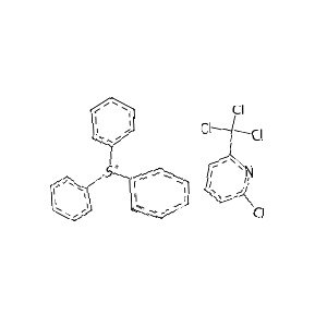 Clc1cccc(C(Cl)(Cl)Cl)n1.c1ccc([S+](c2ccccc2)c2ccccc2)cc1